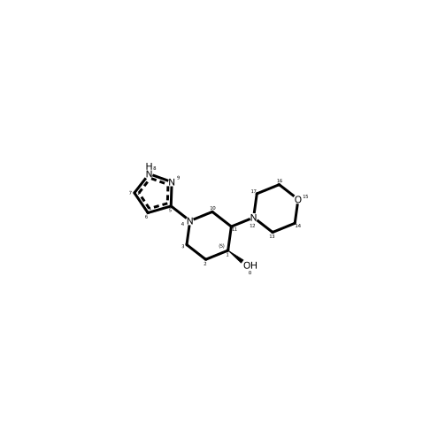 O[C@H]1CCN(c2cc[nH]n2)CC1N1CCOCC1